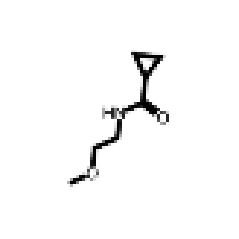 COCCNC(=O)C1CC1